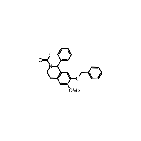 COc1cc2c(cc1OCc1ccccc1)C(c1ccccc1)N(C(=O)Cl)CC2